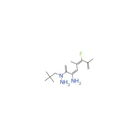 C=C(C)/C(F)=C(C)\C=C(\N)C(=C)N(N)CC(C)(C)C